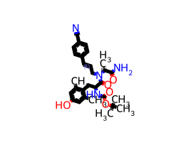 Cc1cc(O)cc(C)c1CC(NC(=O)OC(C)(C)C)C(=O)N(C/C=C/c1ccc(C#N)cc1)[C@H](C)C(N)=O